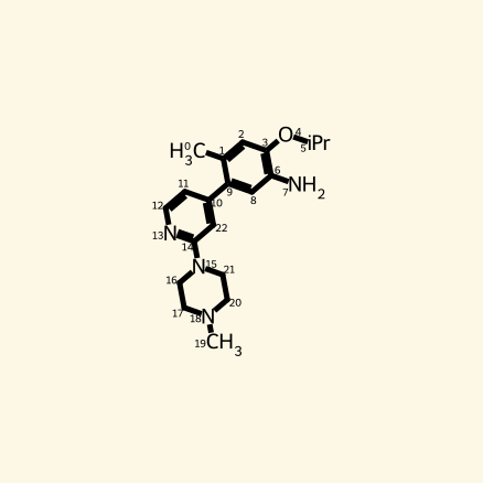 Cc1cc(OC(C)C)c(N)cc1-c1ccnc(N2CCN(C)CC2)c1